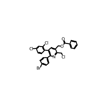 O=C(OCc1cc(-c2ccc(Cl)cc2Cl)c(-c2ccc(Br)cc2)nc1CCl)c1ccccc1